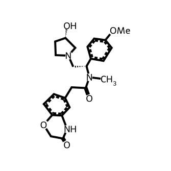 COc1ccc([C@@H](CN2CC[C@H](O)C2)N(C)C(=O)Cc2ccc3c(c2)NC(=O)CO3)cc1